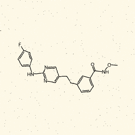 CONC(=O)c1cccc(CCc2cnc(Nc3ccc(F)cc3)nc2)c1